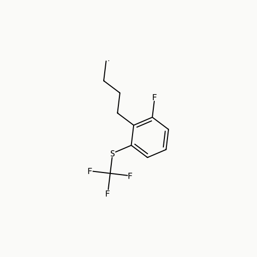 [CH2]CCCc1c(F)cccc1SC(F)(F)F